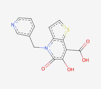 O=C(O)c1c(O)c(=O)n(Cc2cccnc2)c2ccsc12